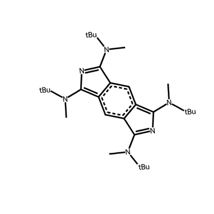 CN(C1=NC(N(C)C(C)(C)C)=c2cc3c(cc21)=C(N(C)C(C)(C)C)N=C3N(C)C(C)(C)C)C(C)(C)C